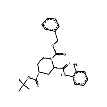 CC(C)(C)OC(=O)N1CCN(C(=O)OCc2ccccc2)C(C(=O)Nc2ccccc2N)C1